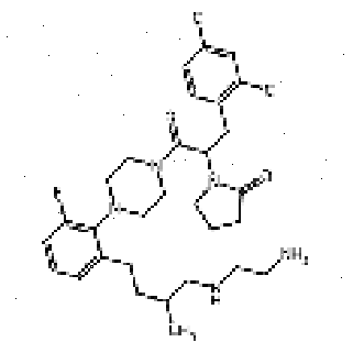 CC(CCc1cccc(F)c1N1CCN(C(=O)C(Cc2ccc(Cl)cc2Cl)N2CCCC2=O)CC1)CNCCN